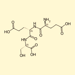 N[C@@H](CCC(=O)O)C(=O)N[C@@H](CCC(=O)O)C(=O)N[C@@H](CO)C(=O)O